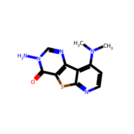 CN(C)c1ccnc2sc3c(=O)n(N)cnc3c12